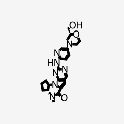 CN(C)C(=O)c1cc2cnc(Nc3ccc(N4CCO[C@H](CO)C4)cn3)nc2n1C1CCCC1